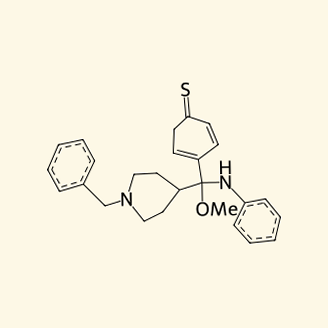 COC(Nc1ccccc1)(C1=CCC(=S)C=C1)C1CCN(Cc2ccccc2)CC1